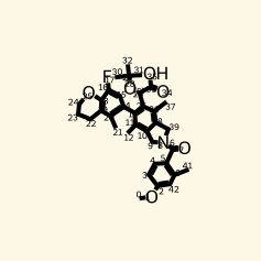 COc1ccc(C(=O)N2Cc3c(C)c(-c4cc(F)c5c(c4C)CCCO5)c([C@H](OC(C)(C)C)C(=O)O)c(C)c3C2)c(C)c1